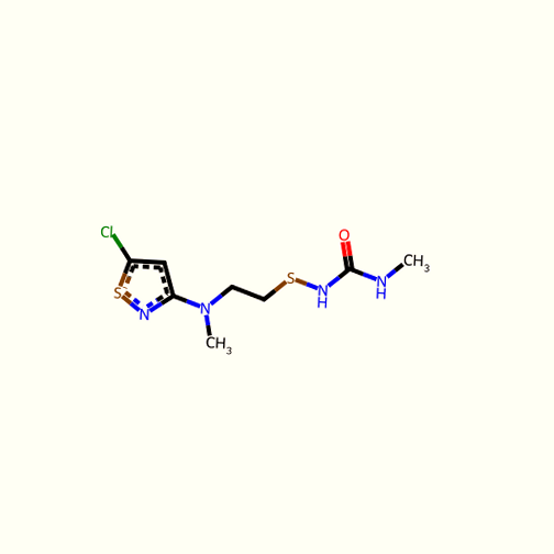 CNC(=O)NSCCN(C)c1cc(Cl)sn1